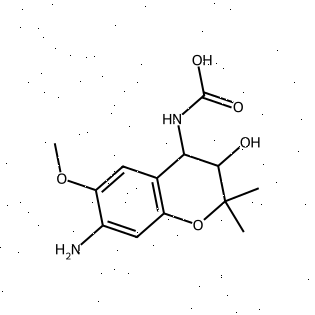 COc1cc2c(cc1N)OC(C)(C)C(O)C2NC(=O)O